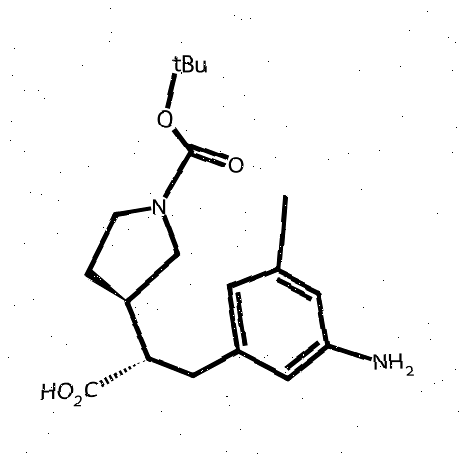 Cc1cc(N)cc(C[C@H](C(=O)O)[C@H]2CCN(C(=O)OC(C)(C)C)C2)c1